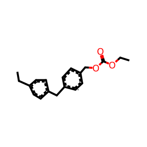 CCOC(=O)OCc1c[c]c(Cc2ccc(CC)cc2)cc1